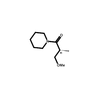 COC[C@@H](C)C(=O)N1CCCCC1